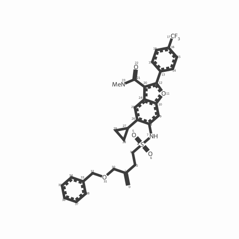 C=C(CCS(=O)(=O)Nc1cc2oc(-c3ccc(C(F)(F)F)cc3)c(C(=O)NC)c2cc1C1CC1)COCc1ccccc1